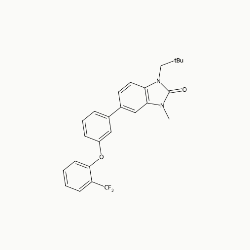 Cn1c(=O)n(CC(C)(C)C)c2ccc(-c3cccc(Oc4ccccc4C(F)(F)F)c3)cc21